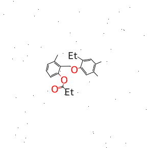 CCC(=O)Oc1cccc(C)c1COc1cc(C)c(C)cc1CC